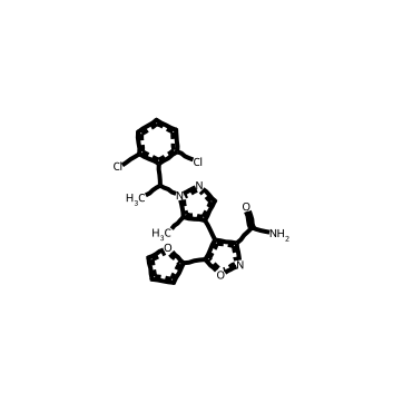 Cc1c(-c2c(C(N)=O)noc2-c2ccco2)cnn1C(C)c1c(Cl)cccc1Cl